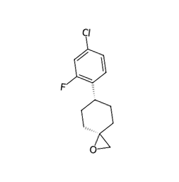 Fc1cc(Cl)ccc1[C@H]1CC[C@]2(CC1)CO2